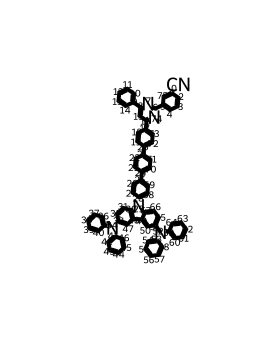 N#Cc1cccc(-c2nc(-c3ccccc3)cc(-c3ccc(-c4ccc(-c5ccc(-n6c7ccc(N(c8ccccc8)c8ccccc8)cc7c7cc(N(c8ccccc8)c8ccccc8)ccc76)cc5)cc4)cc3)n2)c1